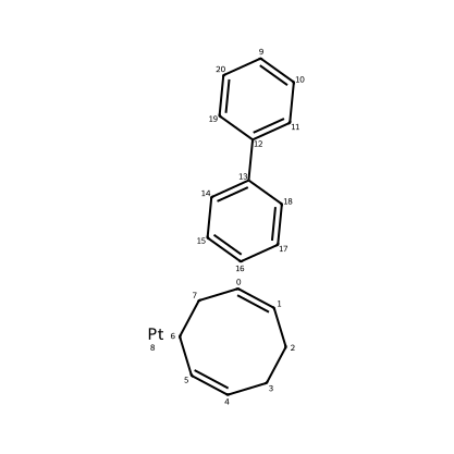 C1=CCCC=CCC1.[Pt].c1ccc(-c2ccccc2)cc1